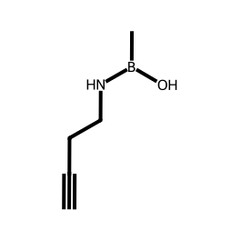 C#CCCNB(C)O